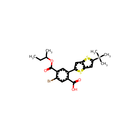 CCC(C)OC(=O)c1cc(-c2cc3sc([Si](C)(C)C)cc3s2)c(C(=O)O)cc1Br